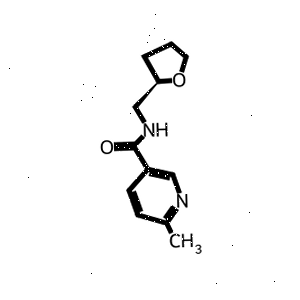 Cc1ccc(C(=O)NC[C@H]2CCCO2)cn1